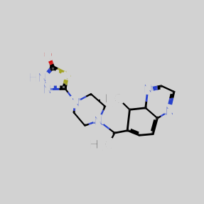 CC1C(C(C)N2CCN(c3n[nH]c(=O)s3)CC2)=CC=C2N=CC=NC21